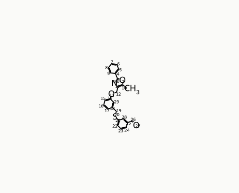 Cc1oc(-c2ccccc2)nc1COc1cccc(CSc2cccc(C=O)c2)c1